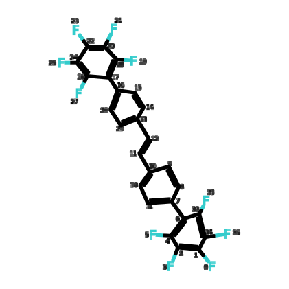 Fc1c(F)c(F)c(-c2ccc(/C=C/c3ccc(-c4c(F)c(F)c(F)c(F)c4F)cc3)cc2)c(F)c1F